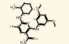 COc1cc(Nc2nc(NC3CCCCC3N)c(F)cc2C(N)=O)cc(OC)c1